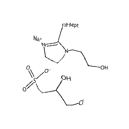 CCCCCCCC1=NCCN1CCO.O=S(=O)([O-])CC(O)CCl.[Na+]